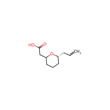 C=CC[C@@H]1CCCC(CC(=O)O)O1